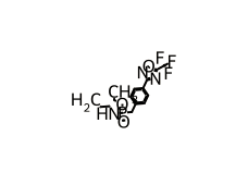 C=CCNP(=O)(Cc1ccc(-c2noc(C(F)(F)F)n2)cc1)OCC